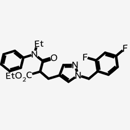 CCOC(=O)C(Cc1cnn(Cc2ccc(F)cc2F)c1)C(=O)N(CC)c1ccccc1